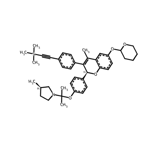 CC1=C(c2ccc(C#C[Si](C)(C)C)cc2)[C@H](c2ccc(OC(C)(C)N3CC[C@@H](C)C3)cc2)Oc2ccc(OC3CCCCO3)cc21